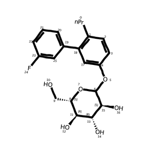 CCCc1ccc(OC2O[C@@H](CO)[C@H](O)[C@@H](O)[C@@H]2O)cc1-c1cccc(F)c1